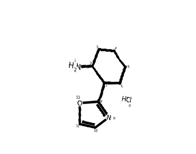 Cl.NC1CCCCC1c1ncco1